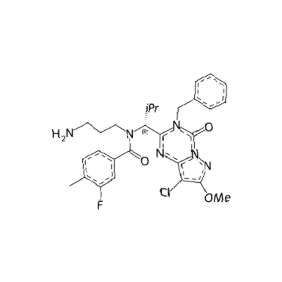 COc1nn2c(=O)n(Cc3ccccc3)c([C@@H](C(C)C)N(CCCN)C(=O)c3ccc(C)c(F)c3)nc2c1Cl